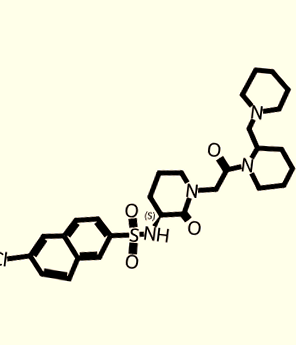 O=C1[C@@H](NS(=O)(=O)c2ccc3cc(Cl)ccc3c2)CCCN1CC(=O)N1CCCCC1CN1CCCCC1